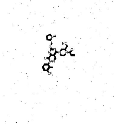 C=CC(=O)N1CCN(c2nc(OC[C@@H]3CCCN3C)nc3c(=O)n(-c4cccc(C(F)(F)F)c4C)ncc23)CC1CC#N